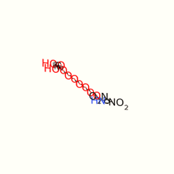 O=[N+]([O-])c1ccc(NCCOCCOCCOCCOCCOCCOCCOC[C@H]2OCC[C@@H](O)[C@H]2O)c([N+](=O)[O-])c1